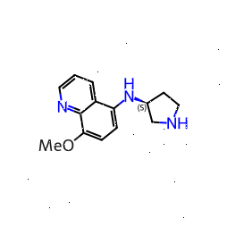 COc1ccc(N[C@H]2CCNC2)c2cccnc12